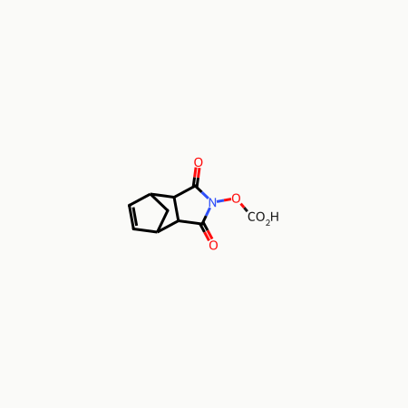 O=C(O)ON1C(=O)C2C3C=CC(C3)C2C1=O